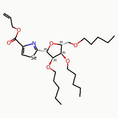 C=CCOC(=O)c1c[se]c([C@@H]2O[C@H](COCCCCC)[C@@H](OCCCCC)[C@H]2OCCCCC)n1